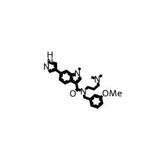 COc1cccc(CN(CCCN(C)C)C(=O)c2cn(C)c3cc(-c4cn[nH]c4)ccc23)c1